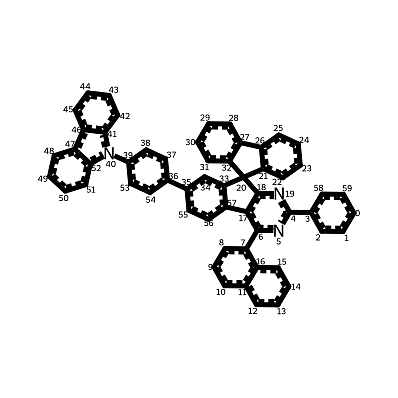 c1ccc(-c2nc(-c3cccc4ccccc34)c3c(n2)C2(c4ccccc4-c4ccccc42)c2cc(-c4ccc(-n5c6ccccc6c6ccccc65)cc4)ccc2-3)cc1